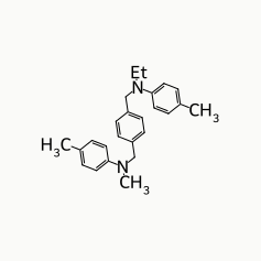 CCN(Cc1ccc(CN(C)c2ccc(C)cc2)cc1)c1ccc(C)cc1